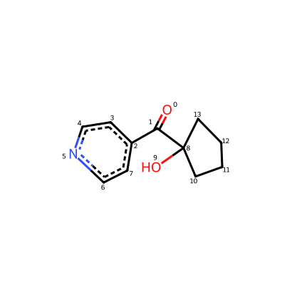 O=C(c1ccncc1)C1(O)CCCC1